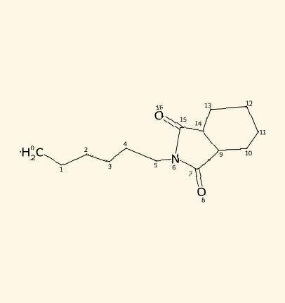 [CH2]CCCCCN1C(=O)C2CCCCC2C1=O